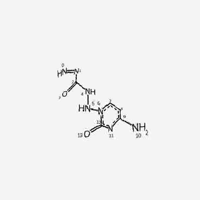 N=NC(=O)NNn1ccc(N)nc1=O